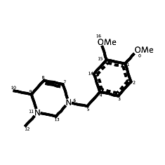 COc1ccc(CN2C=CC(C)N(C)C2)cc1OC